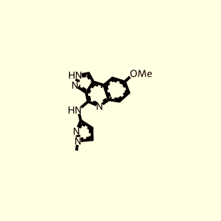 COc1ccc2nc(Nc3ccn(C)n3)c3n[nH]cc3c2c1